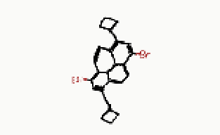 Brc1cc(C2CCC2)c2ccc3c(Br)cc(C4CCC4)c4ccc1c2c34